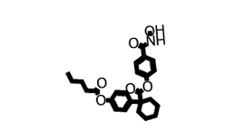 CCCCC(=O)Oc1ccc(C2(C(=O)Oc3ccc(C(=O)NO)cc3)CCCCC2)cc1